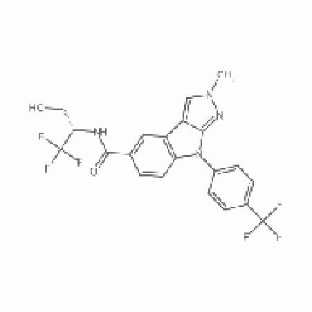 Cn1cc2c3cc(C(=O)N[C@@H](CO)C(F)(F)F)ccc3n(-c3ccc(C(F)(F)F)cc3)c2n1